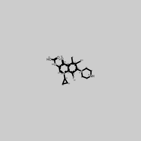 Cc1c(F)c(N2CCNCC2)c(F)c2c1c(=O)c(OC(=O)O)cn2C1CC1